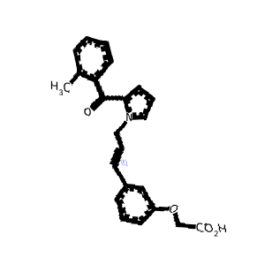 Cc1ccccc1C(=O)c1cccn1C/C=C/c1cccc(OCC(=O)O)c1